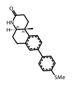 CSc1ccc(-c2ccc3c(c2)CC[C@H]2NC(=O)CC[C@]32C)cc1